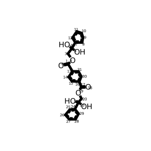 O=C(OCC(O)(O)c1ccccc1)c1ccc(C(=O)OCC(O)(O)c2ccccc2)cc1